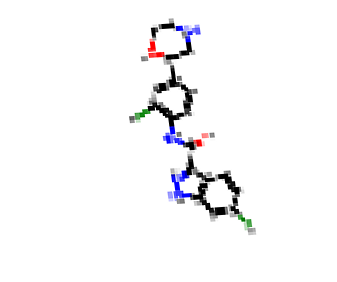 O=C(Nc1ccc([C@@H]2CNCCO2)cc1F)c1n[nH]c2cc(F)ccc12